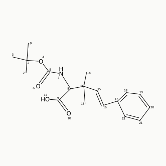 CC(C)(C)OC(=O)NC(C(=O)O)C(C)(C)C=Cc1ccccc1